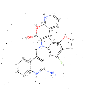 Nc1cc(Cn2c3cc(F)c4c(c3c3c5cccnc5oc(=O)c32)OCC4)c2ccccc2n1